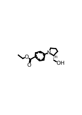 CCOC(=O)c1ccc(N2CCC[C@@H]2CO)cc1